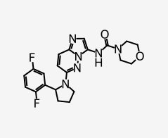 O=C(Nc1cnc2ccc(N3CCCC3c3cc(F)ccc3F)nn12)N1CCOCC1